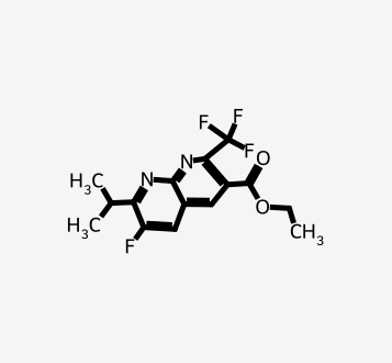 CCOC(=O)c1cc2cc(F)c(C(C)C)nc2nc1C(F)(F)F